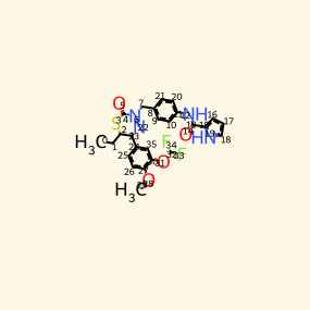 CCC1SC(=O)N(Cc2ccc(NC(=O)c3ccc[nH]3)cc2)N=C1c1ccc(OC)c(OC(F)F)c1